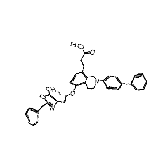 Cc1oc(-c2ccccc2)nc1CCOc1ccc(CCC(=O)O)c2c1CCN(c1ccc(-c3ccccc3)cc1)C2